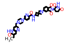 CCc1cc2ncc(CN3CCN(c4ccc(C(=O)NC5CC6(C5)CN(c5ccc7c(c5)C(=O)N(C5CCC(=O)NC5=O)C7=O)C6)nc4)CC3)cc2[nH]c1=O